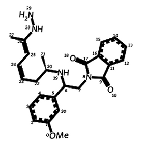 COc1cccc(C(CN2C(=O)c3ccccc3C2=O)N[C@H](C)C/C=C\C=C(/C)NN)c1